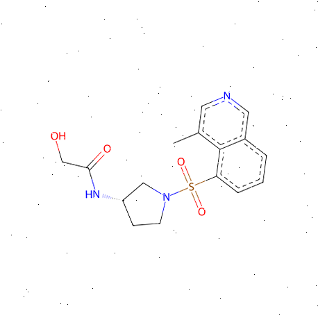 Cc1cncc2cccc(S(=O)(=O)N3CC[C@H](NC(=O)CO)C3)c12